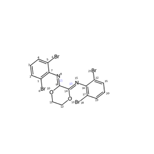 Brc1cccc(Br)c1/N=C1\OCCO\C1=N/c1c(Br)cccc1Br